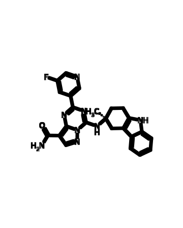 C[C@]1(Nc2nc(-c3cncc(F)c3)nc3c(C(N)=O)cnn23)CCc2[nH]c3ccccc3c2C1